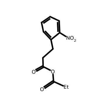 CCC(=O)OC(=O)CCc1ccccc1[N+](=O)[O-]